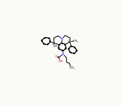 CCCCN(C(=O)O)c1cc2c3c(c1)[C@@](C)(c1ccccc1)CCN3CC[C@@]2(C)c1ccccc1